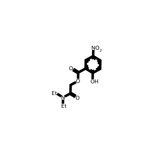 CCN(CC)C(=O)COC(=O)c1cc([N+](=O)[O-])ccc1O